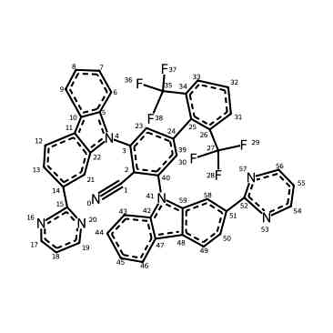 N#Cc1c(-n2c3ccccc3c3ccc(-c4ncccn4)cc32)cc(-c2c(C(F)(F)F)cccc2C(F)(F)F)cc1-n1c2ccccc2c2ccc(-c3ncccn3)cc21